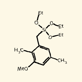 CCO[Si](Cc1cc(C)cc(OC)c1C)(OCC)OCC